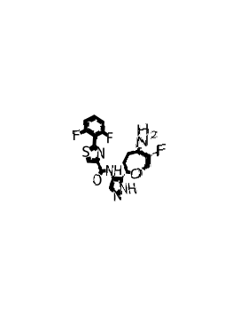 N[C@@H]1CC[C@@H](c2[nH]ncc2NC(=O)c2csc(-c3c(F)cccc3F)n2)OC[C@H]1F